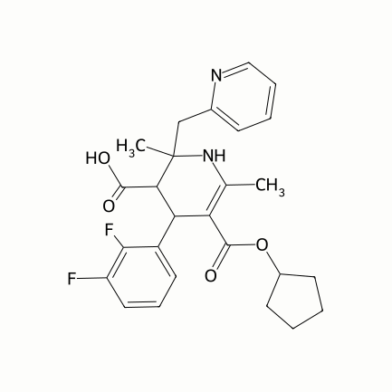 CC1=C(C(=O)OC2CCCC2)C(c2cccc(F)c2F)C(C(=O)O)C(C)(Cc2ccccn2)N1